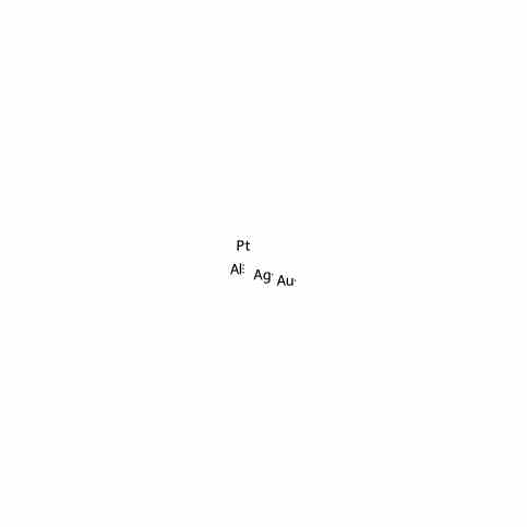 [Ag].[Al].[Au].[Pt]